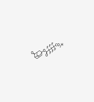 O=C1C2CC3CC1CC(OC(=O)C(F)(F)C(F)(F)C(F)(F)C(=O)O)(C3)C2